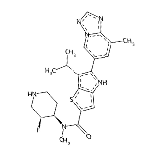 Cc1cc(-c2[nH]c3cc(C(=O)N(C)[C@@H]4CCNC[C@@H]4F)sc3c2C(C)C)cn2ncnc12